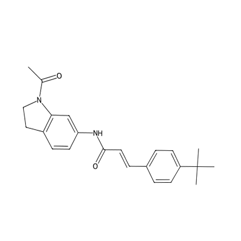 CC(=O)N1CCc2ccc(NC(=O)/C=C/c3ccc(C(C)(C)C)cc3)cc21